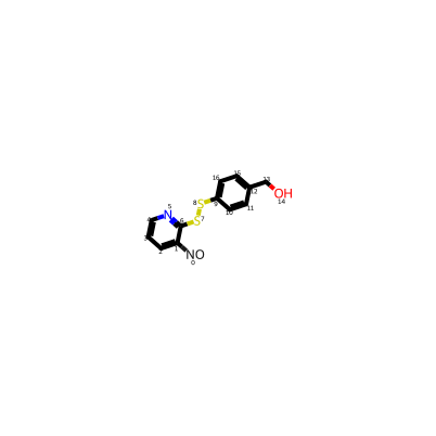 O=Nc1cccnc1SSc1ccc(CO)cc1